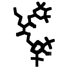 CCCCC(C(=O)OCc1cc(C(C)(C)C)c(O)c(C(C)(C)C)c1)C(=O)OC1CC(C)(C)N(C)C(C)(C)C1